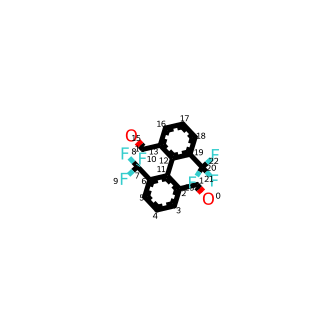 O=Cc1cccc(C(F)(F)F)c1-c1c(C=O)cccc1C(F)(F)F